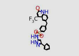 O=c1cc(C(F)(F)F)c2cc(Cc3ccc(S(=O)(=O)Nc4cc(-c5ccccc5)n[nH]4)cc3)ccc2[nH]1